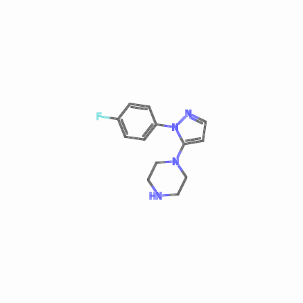 Fc1ccc(-n2nccc2N2CCNCC2)cc1